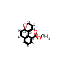 COC(=O)c1cccc2c1C1=CCCOC1C=C2